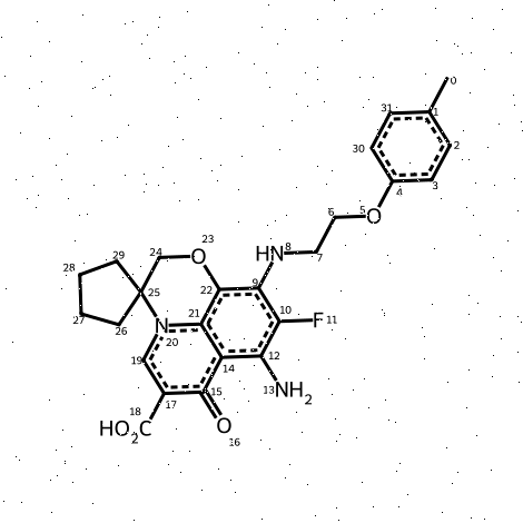 Cc1ccc(OCCNc2c(F)c(N)c3c(=O)c(C(=O)O)cn4c3c2OCC42CCCC2)cc1